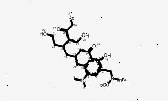 CCCCN(CCCC)Cc1cc(N(C)C)c2c(c1O)C(=O)CC(CC(CCO)C(CO)C(=O)CC(C)=O)C2